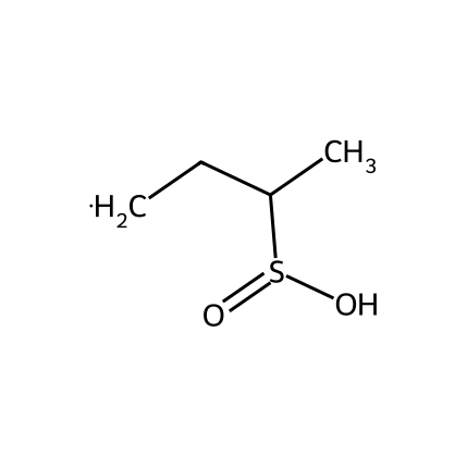 [CH2]CC(C)S(=O)O